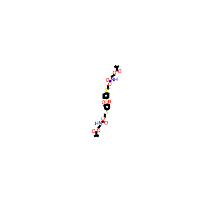 C=C(C)C(=O)OCCNC(=O)OCCSc1ccc(S(=O)(=O)c2ccc(SCCOC(=O)NCCOC(=O)C(=C)C)cc2)cc1